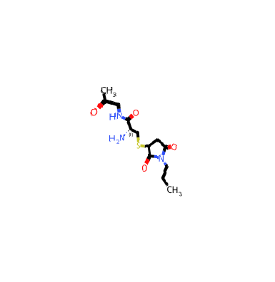 CCCN1C(=O)CC(SC[C@H](N)C(=O)NCC(C)=O)C1=O